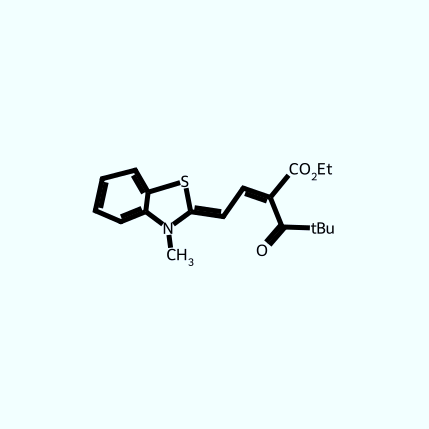 CCOC(=O)/C(=C/C=C1\Sc2ccccc2N1C)C(=O)C(C)(C)C